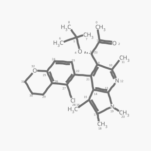 CC(=O)[C@@H](OC(C)(C)C)c1c(C)nc2c(c(C)c(C)n2C)c1-c1ccc2c(c1Cl)CCCO2